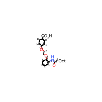 CCCCCCCCC(=O)Nc1ccccc1OCCOc1ccc(C(=O)O)cc1